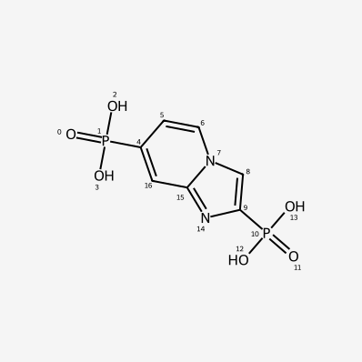 O=P(O)(O)c1ccn2cc(P(=O)(O)O)nc2c1